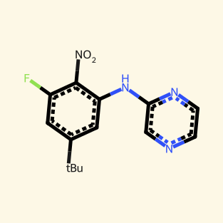 CC(C)(C)c1cc(F)c([N+](=O)[O-])c(Nc2cnccn2)c1